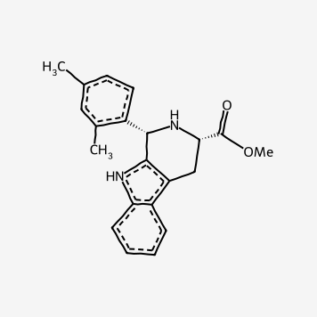 COC(=O)[C@@H]1Cc2c([nH]c3ccccc23)[C@H](c2ccc(C)cc2C)N1